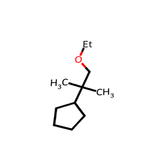 CCOCC(C)(C)C1CCCC1